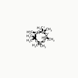 C[SiH]1O[Si](C)(C)O[SiH](C)C(C)(C)O[Si](C)(C)O1